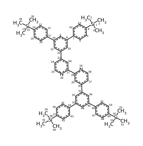 C[Si](C)(C)c1ccc(-c2cc(-c3ccc([Si](C)(C)C)cc3)cc(-c3ccnc(-c4cc(-c5cc(-c6ccc([Si](C)(C)C)cc6)cc(-c6ccc([Si](C)(C)C)cc6)c5)ccn4)c3)c2)cc1